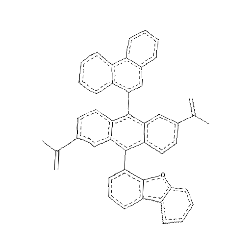 C=C(C)c1ccc2c(-c3cccc4c3oc3ccccc34)c3cc(C(=C)C)ccc3c(-c3cc4ccccc4c4ccccc34)c2c1